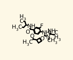 CCC(=N)N(C)C(=O)Nc1cc(OC(C)C2CCC2)c(C(=O)NC(CC)CC)cc1F